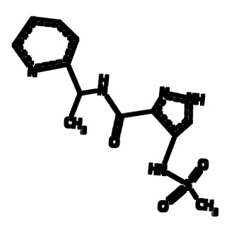 CC(NC(=O)c1n[nH]cc1NS(C)(=O)=O)c1ccccn1